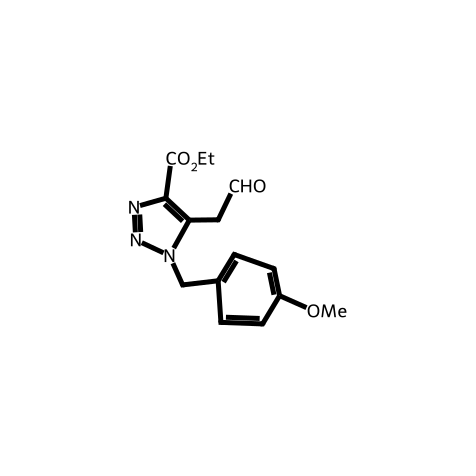 CCOC(=O)c1nnn(Cc2ccc(OC)cc2)c1CC=O